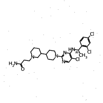 C[C@@H](Nc1nc(N2CCC(C3CCCN(CCC(N)=O)C3)CC2)ncc1Cl)c1ccc(Cl)cc1Cl